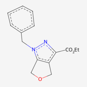 CCOC(=O)c1nn(Cc2ccccc2)c2c1COC2